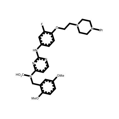 COc1ccc(OC)c(CN(C(=O)O)c2ccnc(Nc3ccc(OCCN4CCN(C(C)C)CC4)c(F)c3)n2)c1